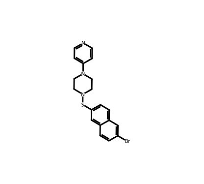 Brc1ccc2cc(SN3CCN(c4ccncc4)CC3)ccc2c1